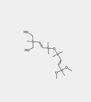 CO[Si](C)(/C=C/[Si](C)(C)O[Si](C)(C)/C=C/[Si](C)(CO)CO)OC